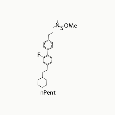 CCCCCC1CCC(CCc2ccc(-c3ccc(CCCN(C)SOC)cc3)c(F)c2)CC1